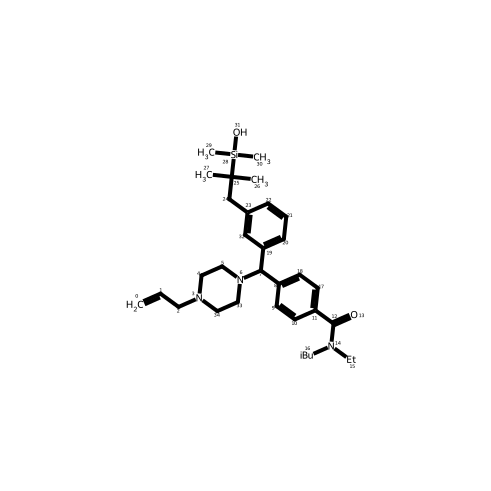 C=CCN1CCN(C(c2ccc(C(=O)N(CC)C(C)CC)cc2)c2cccc(CC(C)(C)[Si](C)(C)O)c2)CC1